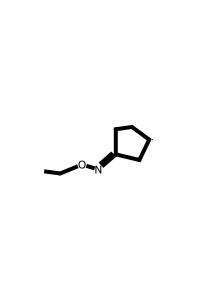 CCON=C1C[CH]CC1